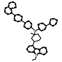 CCn1c2ccccc2c2c(C3CCCC(C)(N(c4ccc(-c5ccccc5)cc4)c4ccc(-c5ccc(-c6cccc7ccccc67)cc5)cc4)C3)cccc21